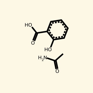 CC(N)=O.O=C(O)c1ccccc1O